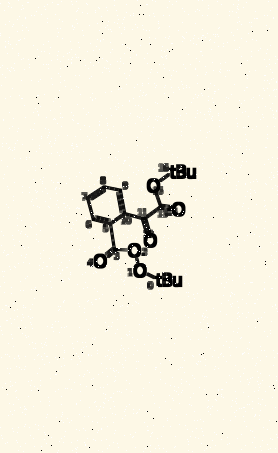 CC(C)(C)OOC(=O)c1ccccc1C(=O)C(=O)OC(C)(C)C